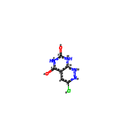 O=c1[nH]c(=O)c2cc(Cl)nnc2[nH]1